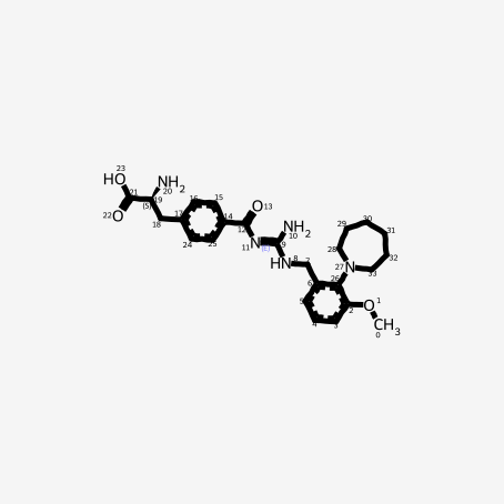 COc1cccc(CN/C(N)=N/C(=O)c2ccc(C[C@H](N)C(=O)O)cc2)c1N1CCCCCC1